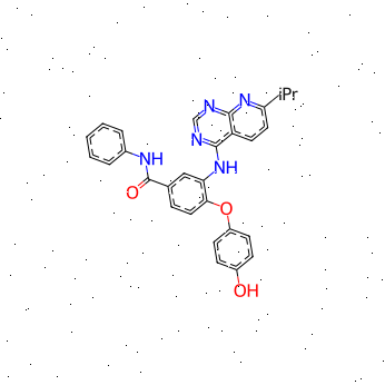 CC(C)c1ccc2c(Nc3cc(C(=O)Nc4ccccc4)ccc3Oc3ccc(O)cc3)ncnc2n1